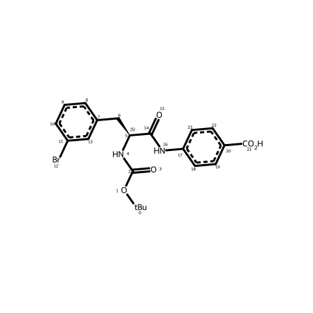 CC(C)(C)OC(=O)N[C@@H](Cc1cccc(Br)c1)C(=O)Nc1ccc(C(=O)O)cc1